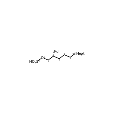 CCCCCCCCCCCCOS(=O)(=O)O.[Pd]